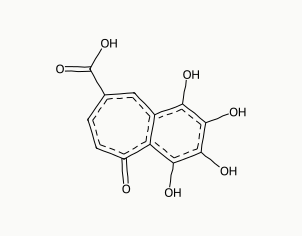 O=C(O)c1ccc(=O)c2c(O)c(O)c(O)c(O)c2c1